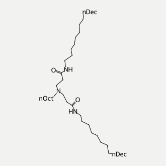 CCCCCCCCCCCCCCCCCCNC(=O)CCN(CCCCCCCC)CCC(=O)NCCCCCCCCCCCCCCCCCC